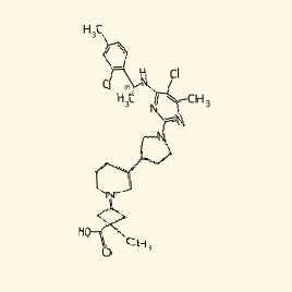 Cc1ccc([C@@H](C)Nc2nc(N3CCC(C4CCCN(C5CC(C)(C(=O)O)C5)C4)C3)nc(C)c2Cl)c(Cl)c1